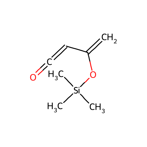 C=C(C=C=O)O[Si](C)(C)C